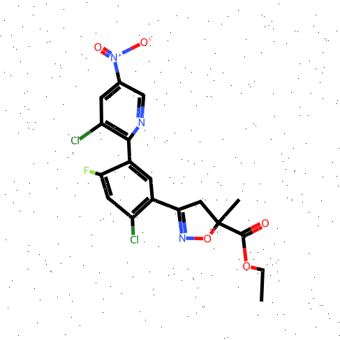 CCOC(=O)C1(C)CC(c2cc(-c3ncc([N+](=O)[O-])cc3Cl)c(F)cc2Cl)=NO1